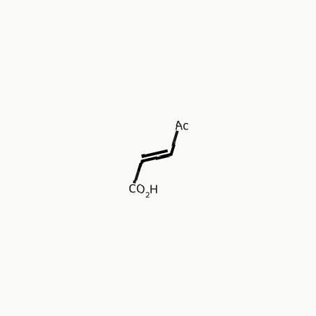 CC(=O)C=CC(=O)O